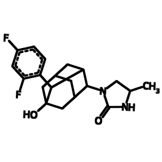 CC1CN(C2C3CC4CC2C(c2ccc(F)cc2F)C(O)(C4)C3)C(=O)N1